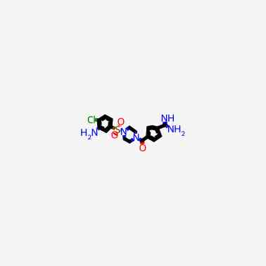 N=C(N)c1ccc(C(=O)N2CCN(S(=O)(=O)c3ccc(Cl)c(N)c3)CC2)cc1